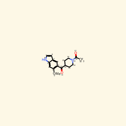 COc1cc2[nH]ccc2cc1C(=O)C1CCN(C(=O)C(F)(F)F)CC1